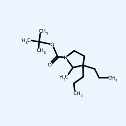 CCCC1(CCC)CCN(C(=O)OC(C)(C)C)C1C